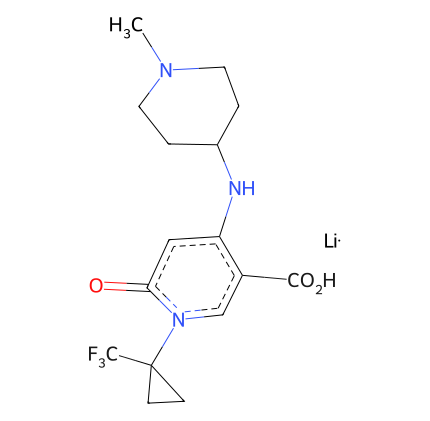 CN1CCC(Nc2cc(=O)n(C3(C(F)(F)F)CC3)cc2C(=O)O)CC1.[Li]